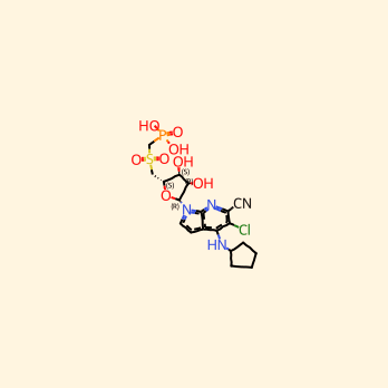 N#Cc1nc2c(ccn2[C@@H]2O[C@H](CS(=O)(=O)CP(=O)(O)O)[C@@H](O)[C@H]2O)c(NC2CCCC2)c1Cl